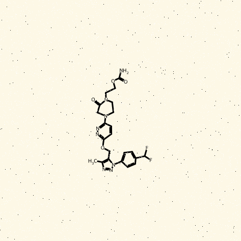 Cc1nnn(-c2ccc(C(F)F)cc2)c1COc1ccc(N2CCN(CCOC(N)=O)C(=O)C2)nn1